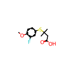 COc1ccc(SC(C)(C)CC(=O)O)cc1F